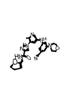 Cc1ncc(Nc2cc(C#N)cc(N3CCOCC3)c2)cc1-n1cc(C(=O)NCC2CCCO2)nn1